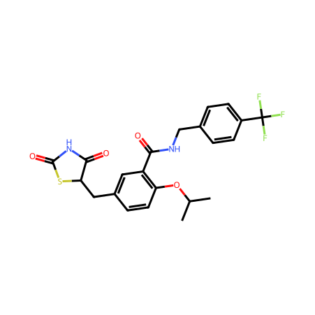 CC(C)Oc1ccc(CC2SC(=O)NC2=O)cc1C(=O)NCc1ccc(C(F)(F)F)cc1